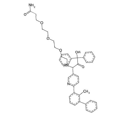 Cc1c(-c2ccccc2)cccc1-c1ccc(C(NCCOCCOCCOCCC(N)=O)C(=O)C(O)(c2ccccc2)c2ccccc2)cn1